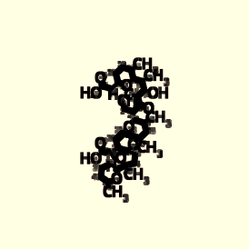 CCC(C(=O)[C@@H](C)[C@@H](O)[C@H](C)[C@@H]1O[C@@H](CC(=O)O)CC[C@@H]1C)[C@H]1O[C@]2(C=C[C@@H](NC(=O)O)[C@]3(CC[C@@](C)([C@H]4CCC[C@H](C)O4)O3)O2)[C@H](C)C[C@@H]1C